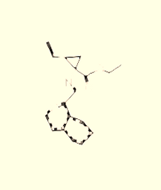 C=C[C@H]1C[C@@]1(N=Cc1cccc2ccccc12)C(=O)OCC